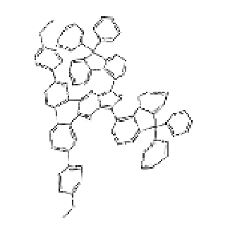 CCc1ccc(-c2ccc3c4ccc(-c5ccc(CC)cc5)cc4c4nc5c(-c6cccc7c6-c6ccccc6C7(c6ccccc6)c6ccccc6)sc(-c6cccc7c6-c6ccccc6C7(c6ccccc6)c6ccccc6)c5nc4c3c2)cc1